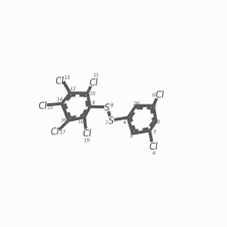 Clc1cc(Cl)cc(SSc2c(Cl)c(Cl)c(Cl)c(Cl)c2Cl)c1